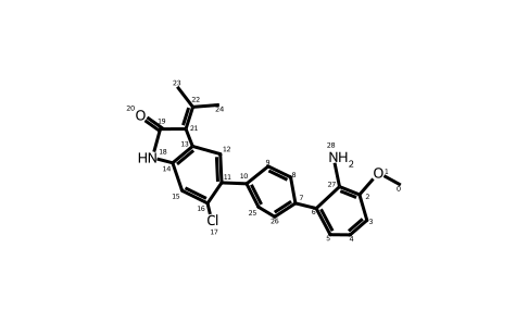 COc1cccc(-c2ccc(-c3cc4c(cc3Cl)NC(=O)C4=C(C)C)cc2)c1N